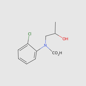 CC(O)CN(C(=O)O)c1ccccc1Cl